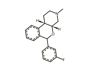 CN1CC[C@H]2c3ccccc3C(c3cccc(F)c3)O[C@H]2C1